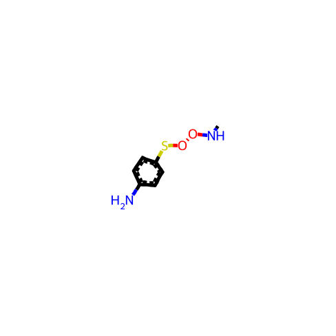 CNOOSc1ccc(N)cc1